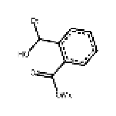 CCC(O)c1ccccc1C(=O)OC